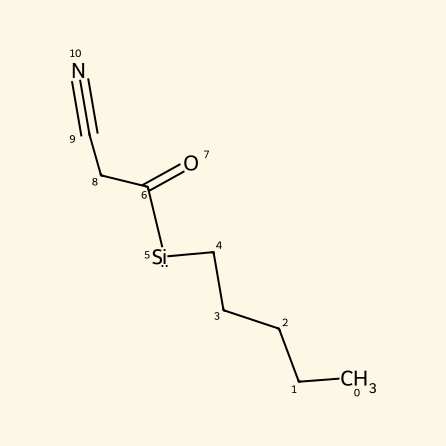 CCCCC[Si]C(=O)CC#N